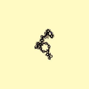 COC(=O)c1cccc(CN2CCOCCOCCN(C(c3ccc(C(=O)NCCC(=O)N4Cc5ccccc5/C=C\c5ccccc54)cc3)c3cccc(C(=O)OC)n3)CCOCCOCC2)n1